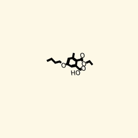 CCCCOc1cc(C)c(C(=O)OCC)c(C(=O)O)c1